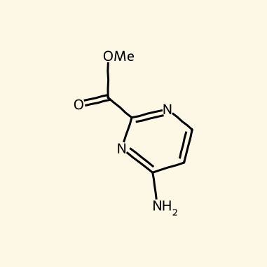 COC(=O)c1nccc(N)n1